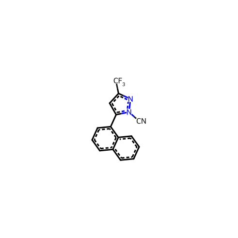 N#Cn1nc(C(F)(F)F)cc1-c1cccc2ccccc12